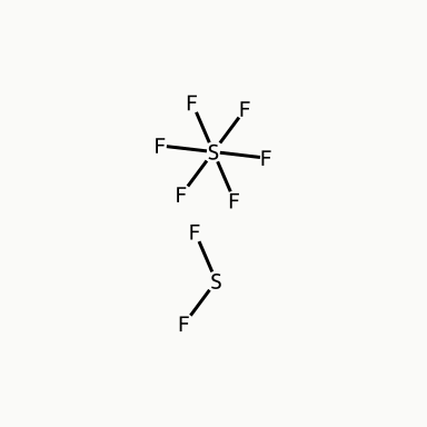 FS(F)(F)(F)(F)F.FSF